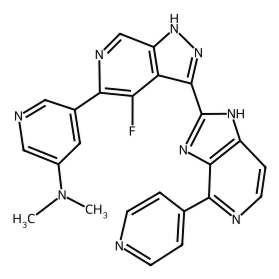 CN(C)c1cncc(-c2ncc3[nH]nc(-c4nc5c(-c6ccncc6)nccc5[nH]4)c3c2F)c1